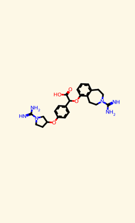 N=C(N)N1CCc2cccc(OC(C(=O)O)c3ccc(OC4CCN(C(=N)N)C4)cc3)c2CC1